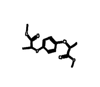 COC(=O)C(C)Oc1ccc(OC(C)C(=O)OC)cc1